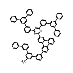 Cc1cc(-c2cccc(-c3ccccc3)c2)cc(-c2cccc(-c3ccc4c5ccccc5c5cc(-c6nc(-c7cccc(-c8cc(-c9ccccc9)cc(-c9ccccc9)c8)c7)nc(-c7cccc(-c8cc(-c9ccccc9)cc(-c9ccccc9)c8)c7)n6)ccc5c4c3)c2)c1